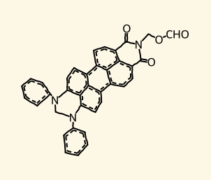 O=COCN1C(=O)c2ccc3c4ccc5c6c(ccc(c7ccc(c2c37)C1=O)c64)N(c1ccccc1)CN5c1ccccc1